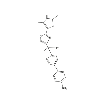 CC1=C(c2nc(C(C)(c3ccc(-c4cnc(N)nc4)cc3)C(C)C)no2)SC(C)N1